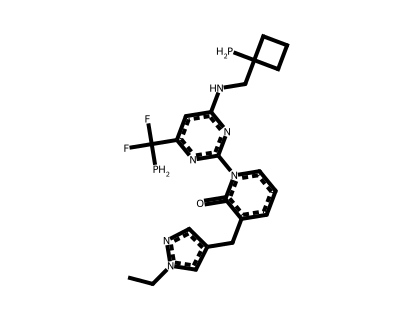 CCn1cc(Cc2cccn(-c3nc(NCC4(P)CCC4)cc(C(F)(F)P)n3)c2=O)cn1